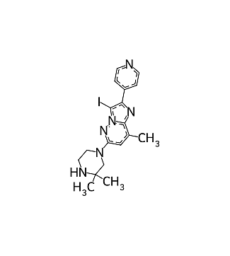 Cc1cc(N2CCNC(C)(C)C2)nn2c(I)c(-c3ccncc3)nc12